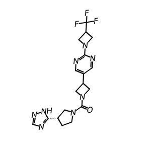 O=C(N1CC(c2cnc(N3CC(C(F)(F)F)C3)nc2)C1)N1CC[C@H](c2ncn[nH]2)C1